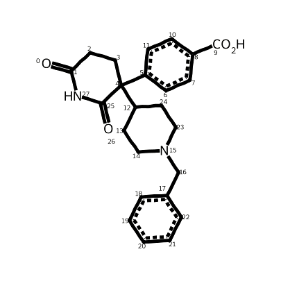 O=C1CCC(c2ccc(C(=O)O)cc2)(C2CCN(Cc3ccccc3)CC2)C(=O)N1